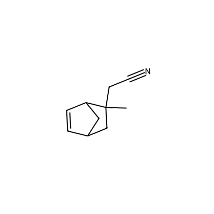 CC1(CC#N)CC2C=CC1C2